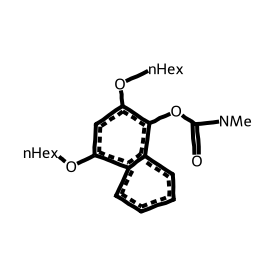 CCCCCCOc1cc(OCCCCCC)c2ccccc2c1OC(=O)NC